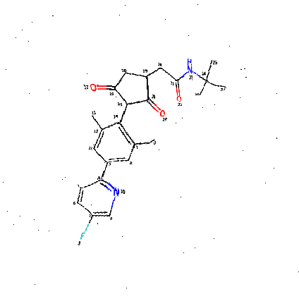 Cc1cc(-c2ccc(F)cn2)cc(C)c1C1C(=O)CC(CC(=O)NC(C)(C)C)C1=O